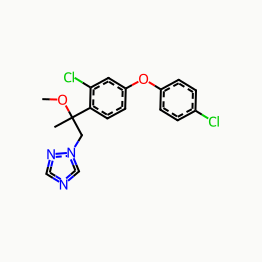 COC(C)(Cn1cncn1)c1ccc(Oc2ccc(Cl)cc2)cc1Cl